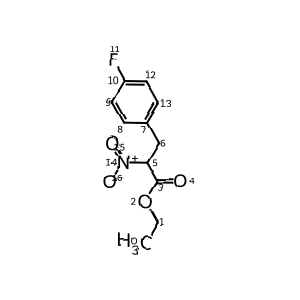 CCOC(=O)C(Cc1ccc(F)cc1)[N+](=O)[O-]